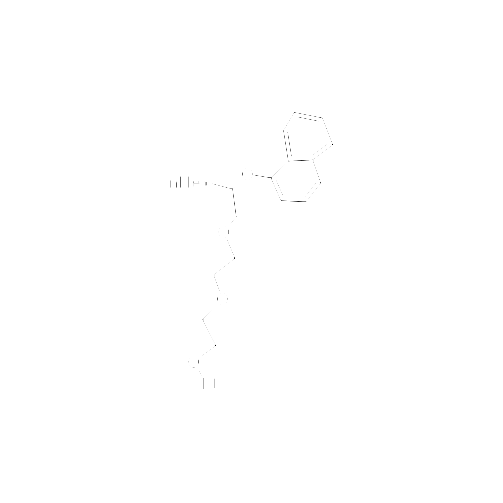 CCCCCCC(COCCOCCOCC)Oc1cccc2ccccc12